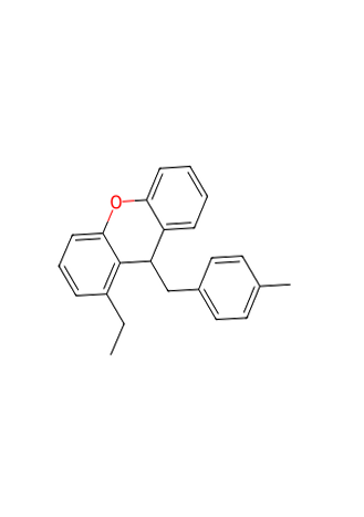 CCc1cccc2c1C(Cc1ccc(C)cc1)c1ccccc1O2